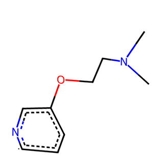 CN(C)CCOc1cc[c]nc1